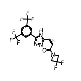 O=C(/C=C\c1nnc(-c2cc(C(F)(F)F)cc(C(F)(F)F)c2)[nH]1)N1CC(F)(F)C1